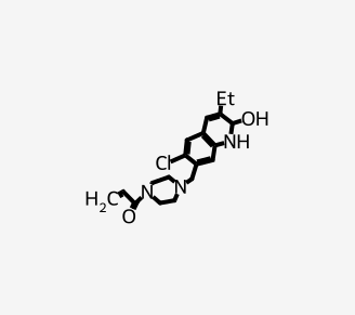 C=CC(=O)N1CCN(Cc2cc3c(cc2Cl)C=C(CC)C(O)N3)CC1